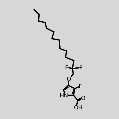 CCCCCCCCCCCCC(F)(F)COc1c[nH]c(C(=O)O)c1F